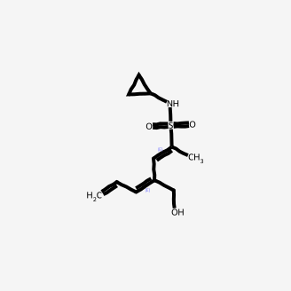 C=C/C=C(\C=C(/C)S(=O)(=O)NC1CC1)CO